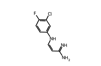 N=C(N)/C=C\Nc1ccc(F)c(Cl)c1